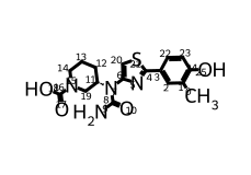 Cc1cc(-c2nc(N(C(N)=O)[C@H]3CCCN(C(=O)O)C3)cs2)ccc1O